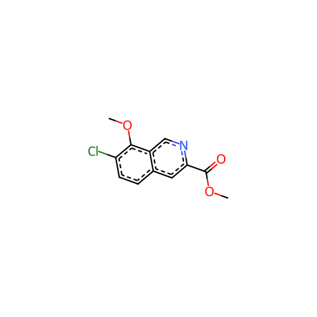 COC(=O)c1cc2ccc(Cl)c(OC)c2cn1